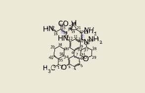 CC(Oc1cccc(-c2cccc(N/C(=C(\C=N)C(=O)O)[C@@H]3CC3/C(N)=C/N(N)C3CCOCC3)c2)c1)C1CCCCC1